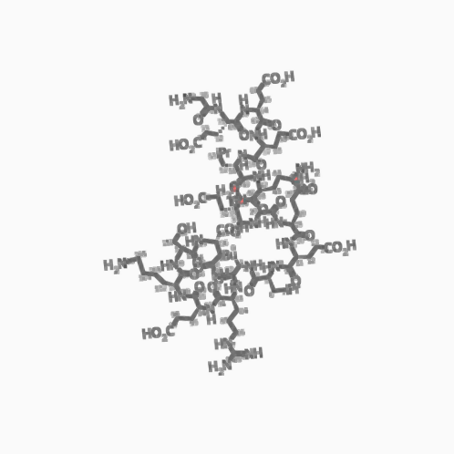 CC[C@H](C)[C@H](NC(=O)[C@H](CC(C)C)NC(=O)[C@H](CCC(=O)O)NC(=O)[C@H](CCC(N)=O)NC(=O)[C@H](CC(N)=O)NC(=O)[C@H](CCC(=O)O)NC(=O)[C@H](CCC(N)=O)NC(=O)[C@H](CC(C)C)NC(=O)[C@H](CCC(=O)O)NC(=O)[C@H](CCC(=O)O)NC(=O)[C@H](CCC(=O)O)NC(=O)CN)C(=O)N[C@@H](CCCNC(=N)N)C(=O)N[C@@H](CCC(=O)O)C(=O)N[C@@H](CCCCN)C(=O)N[C@@H](CO)C(=O)N[C@@H](CC(N)=O)C(=O)O